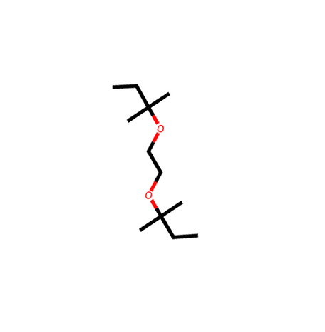 CCC(C)(C)OCCOC(C)(C)CC